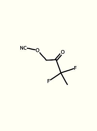 CC(F)(F)C(=O)COC#N